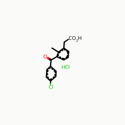 Cc1c(CC(=O)O)cccc1C(=O)c1ccc(Cl)cc1.Cl